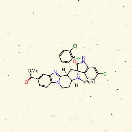 CCCCCN1[C@H]2CCn3c(nc4cc(C(=O)OC)ccc43)[C@H]2[C@H](c2cccc(Cl)c2F)[C@]12C(=O)Nc1cc(Cl)ccc12